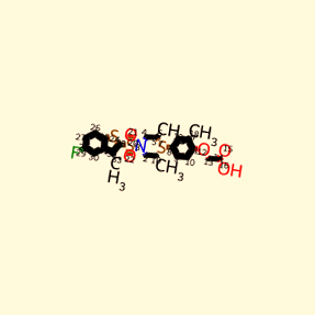 CCCN(CC(C)Sc1ccc(OCC(=O)O)c(C)c1)S(=O)(=O)c1sc2ccc(F)cc2c1C